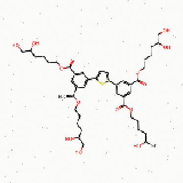 C=C(OCCCCC(O)CO)c1cc(C(=O)OCCCCC(O)CO)cc(-c2ccc(-c3cc(C(=O)OCCCCC(O)CC)cc(C(=O)OCCCCC(O)CO)c3)s2)c1